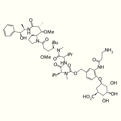 CC[C@H](C)[C@@H]([C@@H](CC(=O)N1CCC[C@H]1[C@H](OC)[C@@H](C)C(=O)N[C@H](C)[C@@H](O)c1ccccc1)OC)N(C)C(=O)C(NC(=O)[C@H](C(C)C)N(C)C(=O)OCc1ccc(O[C@@H]2C[C@H](C(=O)O)[C@@H](O)[C@H](O)[C@H]2O)c(NC(=O)CCN)c1)C(C)C